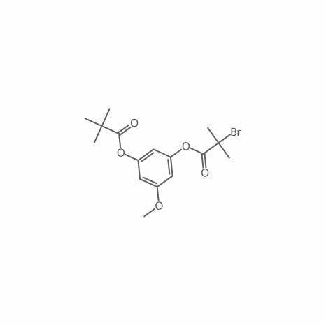 COc1cc(OC(=O)C(C)(C)C)cc(OC(=O)C(C)(C)Br)c1